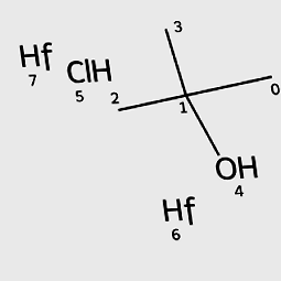 CC(C)(C)O.Cl.[Hf].[Hf]